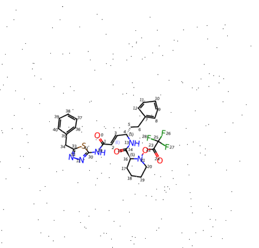 O=C(/C=C/[C@H](CCc1ccccc1)NC(=O)[C@@H]1CCCCN1OC(=O)C(F)(F)F)Nc1nnc(Cc2ccccc2)s1